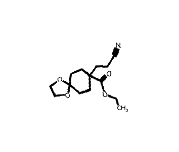 CCOC(=O)C1(CCC#N)CCC2(CC1)OCCO2